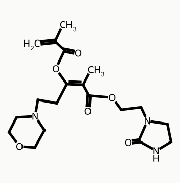 C=C(C)C(=O)OC(CCN1CCOCC1)=C(C)C(=O)OCCN1CCNC1=O